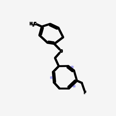 CC1=CC=C(OCC2/C=C\C/C=C(CF)\C=C/2)CC=C1